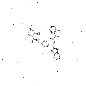 O=C(NCc1cccc(CN(CCc2nc3ccccc3[nH]2)C2CCCc3cccnc32)c1)c1c(Cl)cncc1Cl